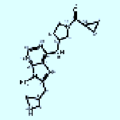 CCn1c(CC2CNC2)nc2c(NC3CCN(C(=O)C4CC4)C3)ncnc21